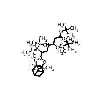 CC(C)(C)OC(=O)CC(CC[C](B1O[C@@H]2CC3CC(C3(C)C)[C@]2(C)O1)N([Si](C)(C)C)[Si](C)(C)C)O[Si](C)(C)C(C)(C)C